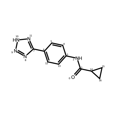 O=C(Nc1ccc(-c2nn[nH]n2)cc1)C1CC1